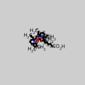 C=CCC1(CC=C)CCCC(CC=C)(CC=C)N1OC(=O)C(CCCCCCCC(=O)O)N1C(CC=C)(CC=C)CCCC1(CC=C)CC=C